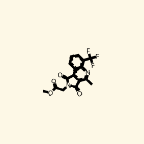 COC(=O)CN1C(=O)c2c(C)nc3c(C(F)(F)F)cccc3c2C1=O